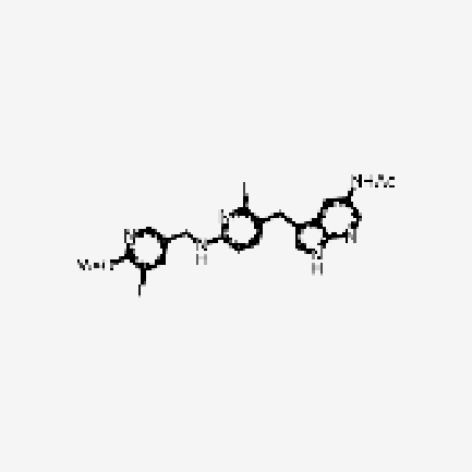 COc1ncc(CNc2ccc(Cc3c[nH]c4ncc(NC(C)=O)cc34)c(F)n2)cc1F